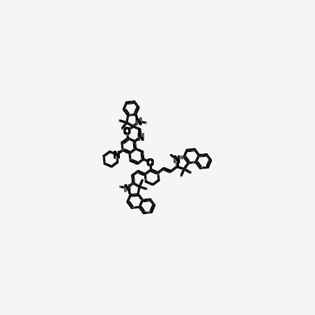 CN1/C(=C/C=C2\CCCC(/C=C/C3=[N+](C)c4ccc5ccccc5c4C3(C)C)=C2Oc2ccc3c(N4CCCCC4)cc4c(c3c2)N=CC2(O4)N(C)c3ccccc3C2(C)C)C(C)(C)c2c1ccc1ccccc21